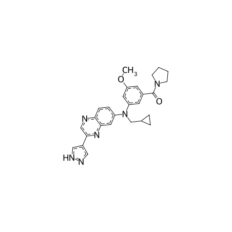 COc1cc(C(=O)N2CCCC2)cc(N(CC2CC2)c2ccc3ncc(-c4cn[nH]c4)nc3c2)c1